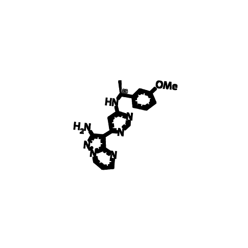 COc1cccc([C@H](C)Nc2cc(-c3c(N)nn4cccnc34)ncn2)c1